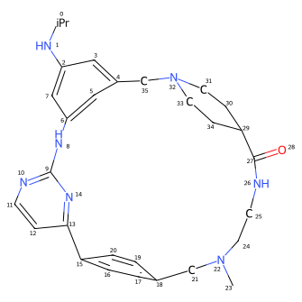 CC(C)Nc1cc2cc(c1)Nc1nccc(n1)-c1ccc(cc1)CN(C)CCNC(=O)C1CCN(CC1)C2